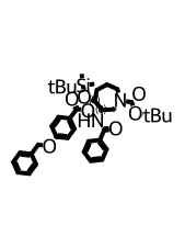 CC(C)(C)OC(=O)N1CCC[C@@](OC(=O)c2ccc(OCc3ccccc3)cc2)(O[Si](C)(C)C(C)(C)C)[C@H](NC(=O)c2ccccc2)C1